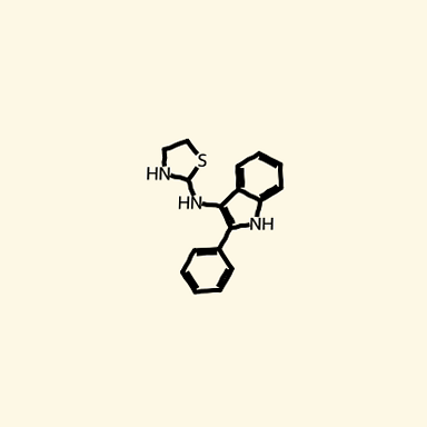 c1ccc(-c2[nH]c3ccccc3c2NC2NCCS2)cc1